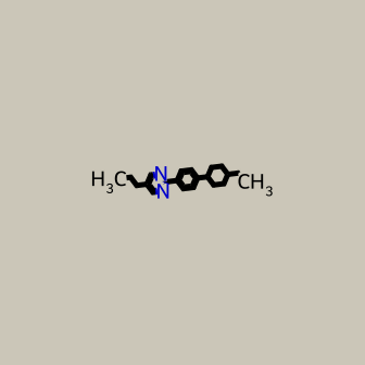 CCCc1cnc(-c2ccc(C3CCC(CC)CC3)cc2)nc1